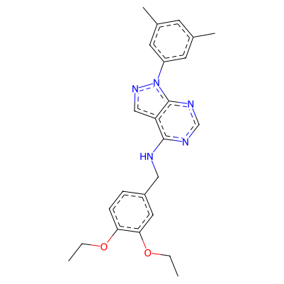 CCOc1ccc(CNc2ncnc3c2cnn3-c2cc(C)cc(C)c2)cc1OCC